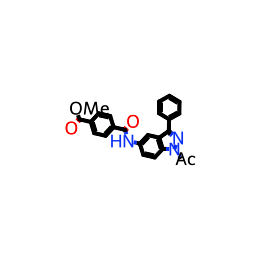 COC(=O)c1ccc(C(=O)Nc2ccc3c(c2)c(-c2ccccc2)nn3C(C)=O)cc1